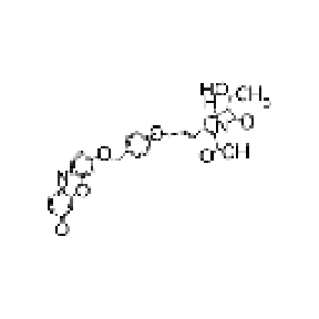 C[C@@H](O)[C@H]1C(=O)N2C(C(=O)O)=C(/C=C/COc3ccc(COc4ccc5nc6ccc(=O)cc-6oc5c4)cc3)C[C@H]12